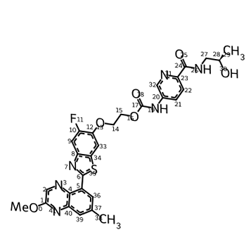 COc1cnc2c(-c3nc4cc(F)c(OCCOC(=O)Nc5ccc(C(=O)NC[C@@H](C)O)nc5)cc4s3)cc(C)cc2n1